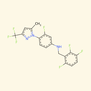 Cc1cc(C(F)(F)F)nn1-c1ccc(NCc2c(F)ccc(F)c2F)cc1F